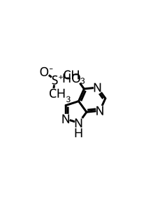 C[S+](C)[O-].Oc1ncnc2[nH]ncc12